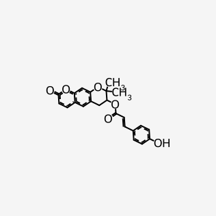 CC1(C)Oc2cc3oc(=O)ccc3cc2CC1OC(=O)/C=C/c1ccc(O)cc1